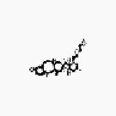 COCCOCCN1C[C@@H](C)C[C@H]2O[C@]3(CC[C@H]4CCCC5=CC(=O)CC[C@]5(C)[C@H](C)CC4=C(C)C3)[C@H](C)[C@@H]21